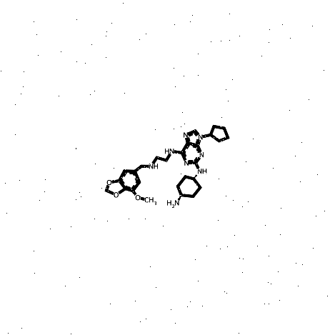 COc1cc(CNCCNc2nc(N[C@H]3CC[C@H](N)CC3)nc3c2ncn3C2CCCC2)cc2c1OCO2